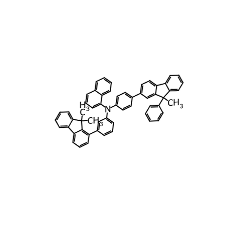 CC1(C)c2ccccc2-c2cccc(-c3cccc(N(c4ccc(-c5ccc6c(c5)C(C)(c5ccccc5)c5ccccc5-6)cc4)c4cccc5ccccc45)c3)c21